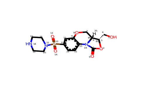 O=C1O[C@@H](CO)[C@H]2COc3cc(S(=O)(=O)N4CCNCC4)ccc3N12